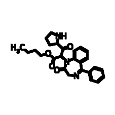 CCCCOC(=O)C(C(=O)C1CCCN1)N1C(=O)CN=C(c2ccccc2)c2ccccc21